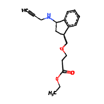 C#CCNC1CC(COCCC(=O)OCC)c2ccccc21